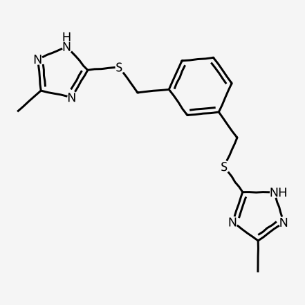 Cc1n[nH]c(SCc2cccc(CSc3nc(C)n[nH]3)c2)n1